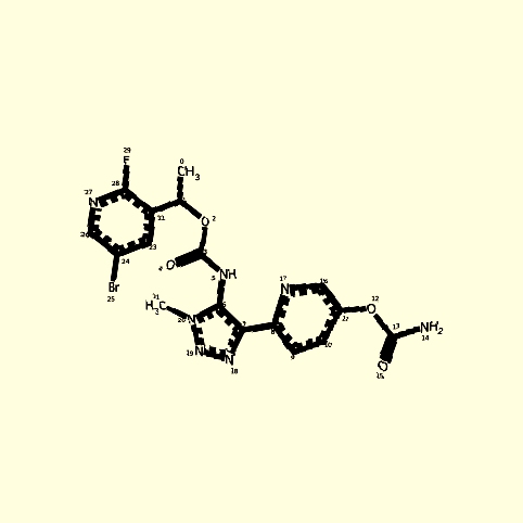 CC(OC(=O)Nc1c(-c2ccc(OC(N)=O)cn2)nnn1C)c1cc(Br)cnc1F